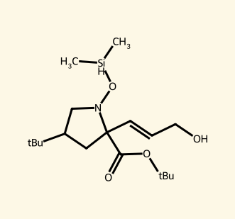 C[SiH](C)ON1CC(C(C)(C)C)CC1(C=CCO)C(=O)OC(C)(C)C